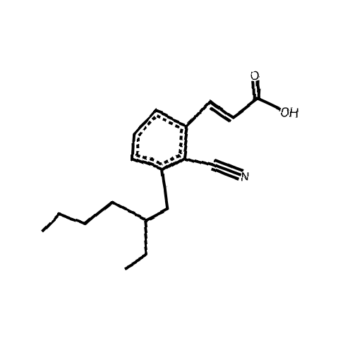 CCCCC(CC)Cc1cccc(C=CC(=O)O)c1C#N